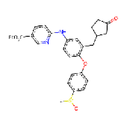 CCOC(=O)c1ccc(Nc2ccc(Oc3ccc([S+](C)[O-])cc3)c(CC3CCC(=O)C3)c2)nc1